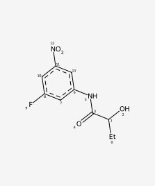 CCC(O)C(=O)Nc1cc(F)cc([N+](=O)[O-])c1